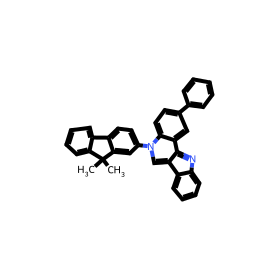 CC1(C)c2ccccc2-c2ccc(-n3cc4c5ccccc5nc-4c4cc(-c5ccccc5)ccc43)cc21